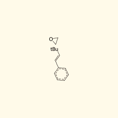 C1CO1.CC(C)(C)C=Cc1ccccc1